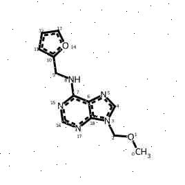 COCn1cnc2c(NCc3ccco3)ncnc21